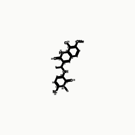 COc1ccc2cc(C(C)Nc3ccc(C#N)n(C)c3=O)c(=O)[nH]c2c1Cl